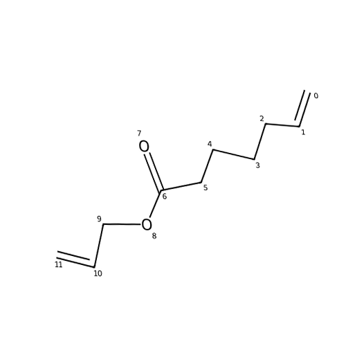 C=CCCCCC(=O)OCC=C